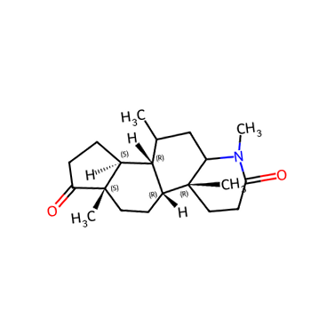 CC1CC2N(C)C(=O)CC[C@]2(C)[C@@H]2CC[C@]3(C)C(=O)CC[C@H]3[C@H]12